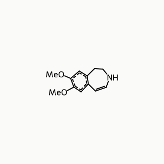 COc1cc2c(cc1OC)CCNC=C2